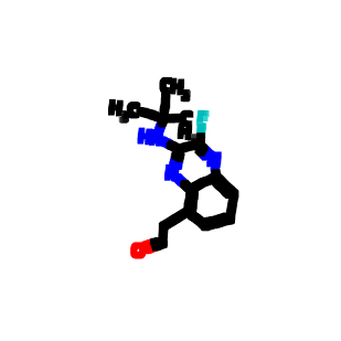 CC(C)(C)Nc1nc2c(CC=O)cccc2nc1F